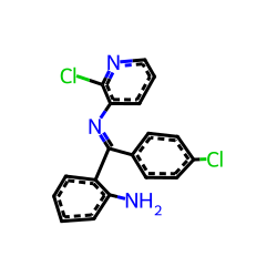 Nc1ccccc1C(=Nc1cccnc1Cl)c1ccc(Cl)cc1